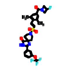 Cc1cc(C(=O)N2CC(F)C2)cc(C)c1C=CS(=O)(=O)N1CCC2(CC1)N=C(c1cccc(OC(F)(F)F)c1)NC2=O